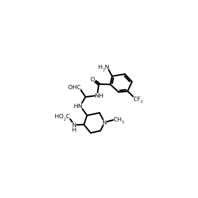 CN1CCC(NC(=O)O)C(NC(C=O)NC(=O)c2cc(C(F)(F)F)ccc2N)C1